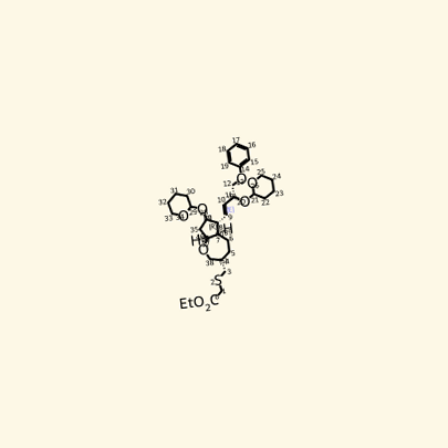 CCOC(=O)CSC[C@H]1CC[C@@H]2[C@@H](/C=C/[C@H](COc3ccccc3)OC3CCCCO3)[C@H](OC3CCCCO3)C[C@@H]2OC1